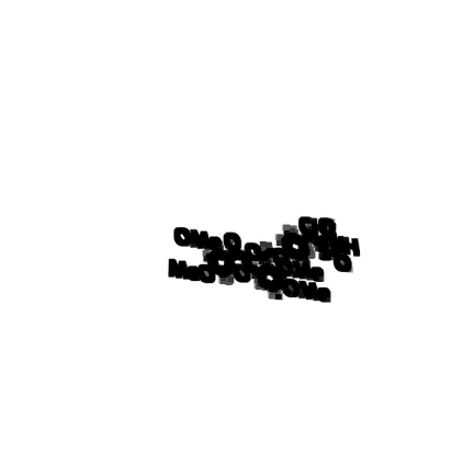 COc1cc(OC)c2c(=O)c(OCCOc3ccc(/C(C)=C4\SC(=O)NC4=O)cc3)c(-c3ccc(OC)c(OC)c3)oc2c1